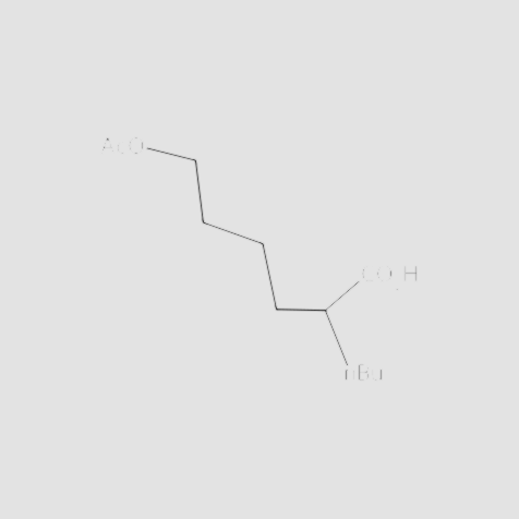 CCCCC(CCCCOC(C)=O)C(=O)O